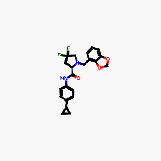 O=C(Nc1ccc(C2CC2)cc1)[C@H]1CC(F)(F)CN1Cc1cccc2c1OCO2